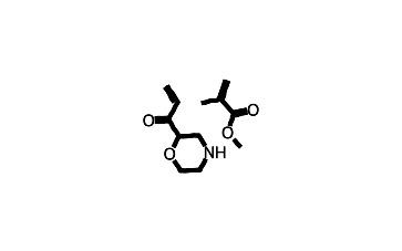 C=C(C)C(=O)OC.C=CC(=O)C1CNCCO1